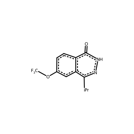 CC(C)c1n[nH]c(=O)c2ccc(OC(F)(F)F)cc12